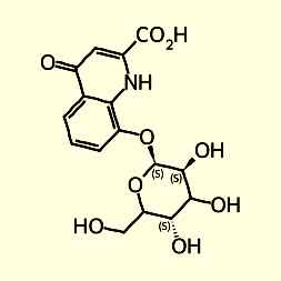 O=C(O)c1cc(=O)c2cccc(O[C@@H]3OC(CO)[C@@H](O)C(O)[C@@H]3O)c2[nH]1